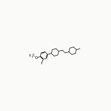 CC1CCC(CCC2CCC(c3ccc(OC(F)(F)F)c(F)c3)CC2)CC1